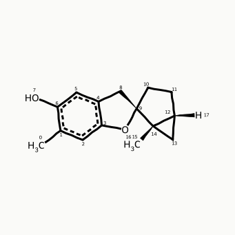 Cc1cc2c(cc1O)C[C@]1(CC[C@@H]3C[C@@]31C)O2